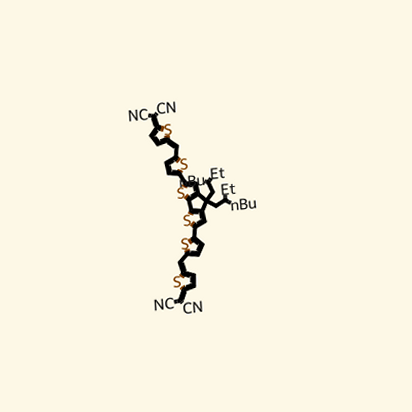 CCCCC(CC)CC1(CC(CC)CCCC)c2cc(-c3ccc(/C=c4\ccc(=C(C#N)C#N)s4)s3)sc2-c2sc(-c3ccc(/C=c4\ccc(=C(C#N)C#N)s4)s3)cc21